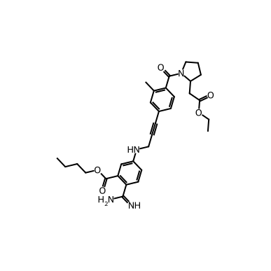 CCCCOC(=O)c1cc(NCC#Cc2ccc(C(=O)N3CCCC3CC(=O)OCC)c(C)c2)ccc1C(=N)N